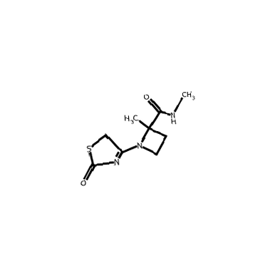 CNC(=O)C1(C)CCN1C1=NC(=O)SC1